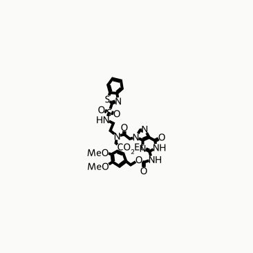 CCOC(=O)CN(CCNS(=O)(=O)c1nc2ccccc2s1)C(=O)Cn1cnc2c(=O)[nH]c(NC(=O)OCc3ccc(OC)c(OC)c3)nc21